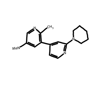 CNc1cnc(C)c(-c2ccnc(N3CCCCC3)c2)c1